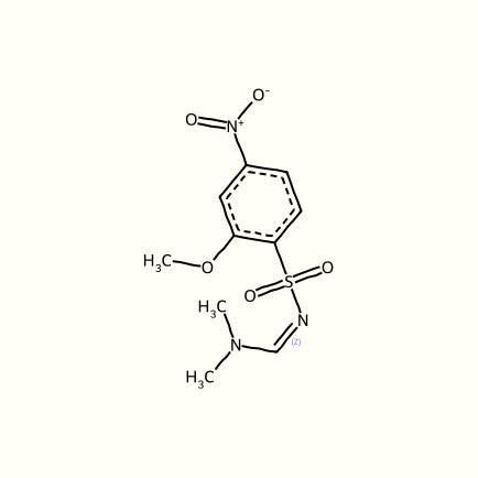 COc1cc([N+](=O)[O-])ccc1S(=O)(=O)/N=C\N(C)C